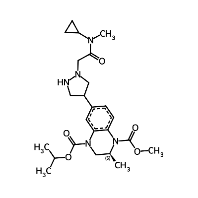 COC(=O)N1c2ccc(C3CNN(CC(=O)N(C)C4CC4)C3)cc2N(C(=O)OC(C)C)C[C@@H]1C